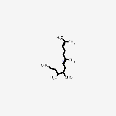 CC(C)=CCC/C(C)=C/CC(C=O)C(C)CCC=O